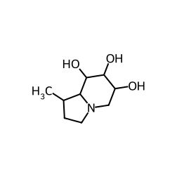 CC1CCN2CC(O)C(O)C(O)C12